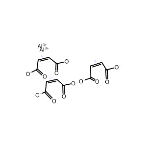 O=C([O-])/C=C\C(=O)[O-].O=C([O-])/C=C\C(=O)[O-].O=C([O-])/C=C\C(=O)[O-].[Al+3].[Al+3]